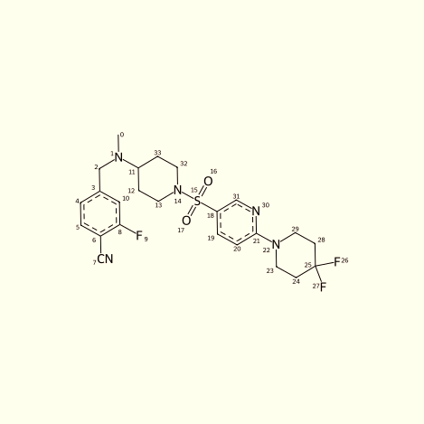 CN(Cc1ccc(C#N)c(F)c1)C1CCN(S(=O)(=O)c2ccc(N3CCC(F)(F)CC3)nc2)CC1